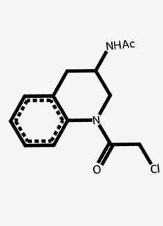 CC(=O)NC1Cc2ccccc2N(C(=O)CCl)C1